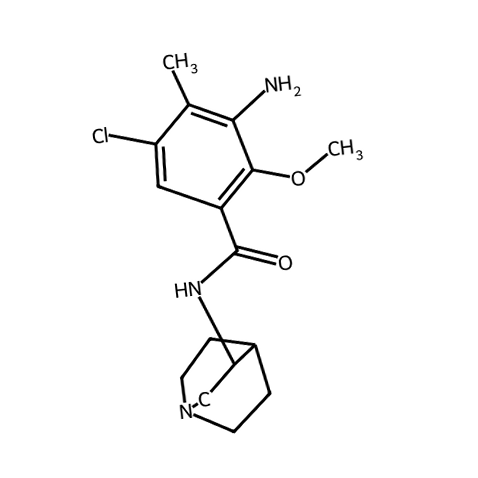 COc1c(C(=O)NC2CN3CCC2CC3)cc(Cl)c(C)c1N